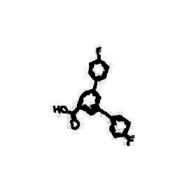 O=C(O)c1cc(-c2ccc(F)cc2)cc(-c2ccc(F)cc2)c1